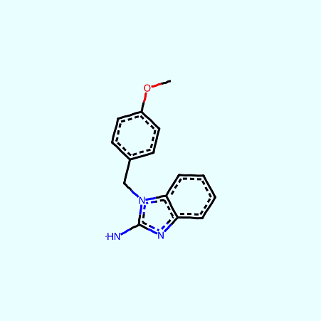 COc1ccc(Cn2c([NH])nc3ccccc32)cc1